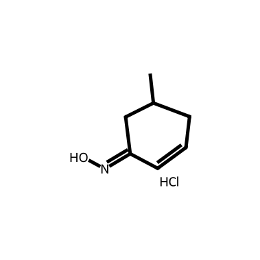 CC1CC=CC(=NO)C1.Cl